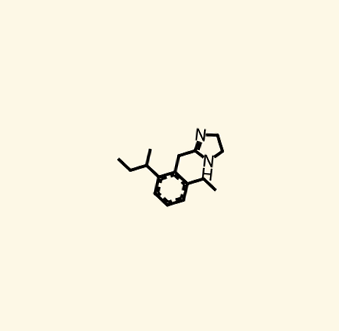 CCc1cccc(C(C)CC)c1CC1=NCCN1